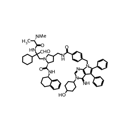 CN[C@@H](C)C(=O)NC(C=O)(CN1CC(CNC(=O)c2ccc(Cn3c(-c4ccccc4)c(-c4ccccc4)c4c(=N)n(C5CCC(O)CC5)cnc43)cc2)C[C@H]1C(=O)N[C@@H]1CCCc2ccccc21)C1CCCCC1